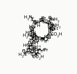 CCO[C@H](C(N)=O)[C@@H]1NC(=O)[C@H](CCC(N)=O)N(C)C(=O)[C@H](CC(C)C)NC(=O)[C@@H](CCCCN)NC(=O)C([C@@H](C)O)NC(=O)[C@H](N2C(=O)[C@@H](NC(=O)[C@H](O)[C@H](O)[C@H](CCC(N)=O)NC(=O)[C@@H](CC(=O)O)NC(=O)[C@H](C)[C@H](O)[C@H](C)CC(C)C)[C@@H](C)[C@@H]2C(N)=O)[C@@H](C)OC(=O)[C@@H]2CCCCN2C(=O)[C@@H](CC(=O)O)NC1=O